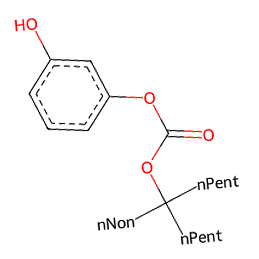 CCCCCCCCCC(CCCCC)(CCCCC)OC(=O)Oc1cccc(O)c1